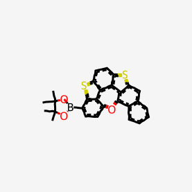 CC1(C)OB(c2ccc3oc4c5ccccc5cc5sc6ccc7sc2c3c7c6c54)OC1(C)C